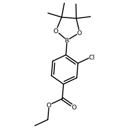 CCOC(=O)c1ccc(B2OC(C)(C)C(C)(C)O2)c(Cl)c1